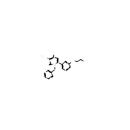 CC(C)CCOc1cccc(-c2cc(C(F)(F)F)c(C#N)c(=O)n2Cc2ccccc2)c1